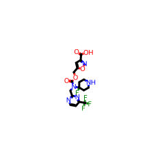 O=C(O)c1cc(COC(=O)N(Cc2nccc(C(F)(F)F)n2)C2(F)CCNCC2)on1